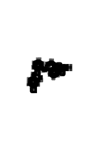 O=S(=O)(O)c1cccc2c1CCCN2Cc1ccccc1OCc1ccc(Cl)cc1F